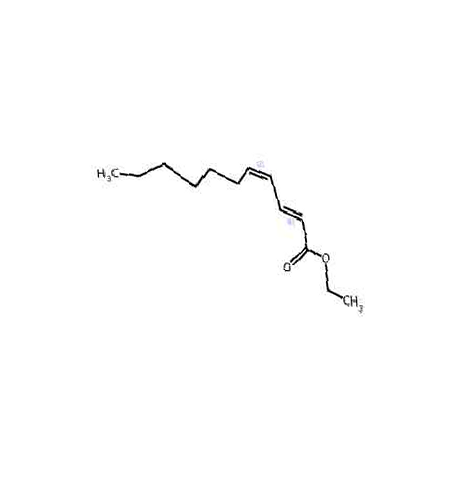 CCCCCC/C=C\C=C\C(=O)OCC